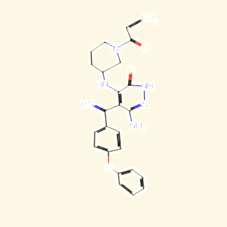 C=CC(=O)N1CCCC(Nc2c(C(=N)c3ccc(Oc4ccccc4)cc3)c(N)n[nH]c2=O)C1